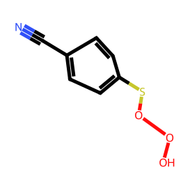 N#Cc1ccc(SOOO)cc1